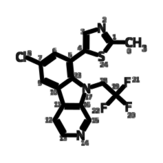 Cc1ncc(-c2cc(Cl)cc3c4ccncc4n(CC(F)(F)F)c23)s1